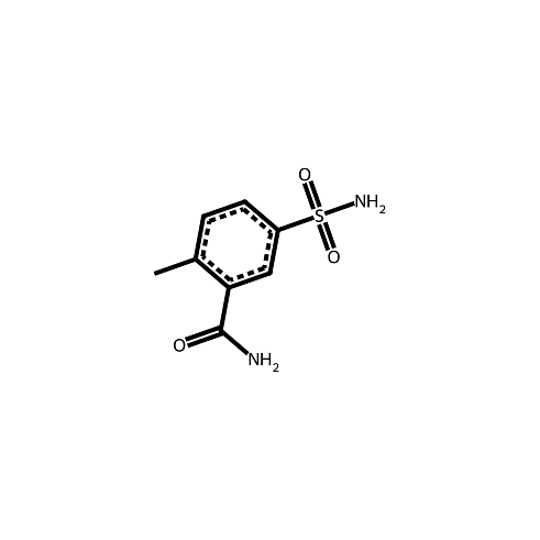 Cc1ccc(S(N)(=O)=O)cc1C(N)=O